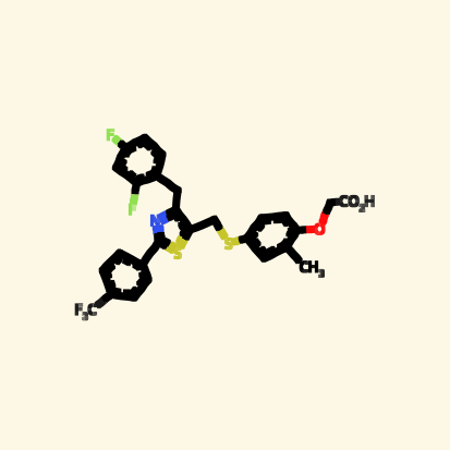 Cc1cc(SCc2sc(-c3ccc(C(F)(F)F)cc3)nc2Cc2ccc(F)cc2F)ccc1OCC(=O)O